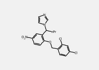 CCCC(c1cc([N+](=O)[O-])ccc1OCc1ccc(Cl)cc1Cl)n1ccnc1